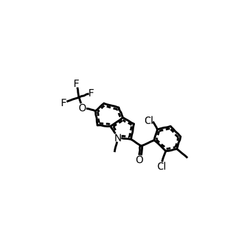 Cc1ccc(Cl)c(C(=O)c2cc3ccc(OC(F)(F)F)cc3n2C)c1Cl